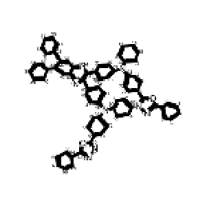 c1ccc(-c2nnc(-c3ccc(N(c4ccccc4)c4ccc(-c5nc6cc(-c7ccccc7)c(-c7ccccc7)cc6nc5-c5ccc(N(c6ccccc6)c6ccc(-c7nnc(-c8ccccc8)o7)cc6)cc5)cc4)cc3)o2)cc1